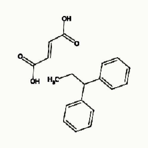 CCC(c1ccccc1)c1ccccc1.O=C(O)C=CC(=O)O